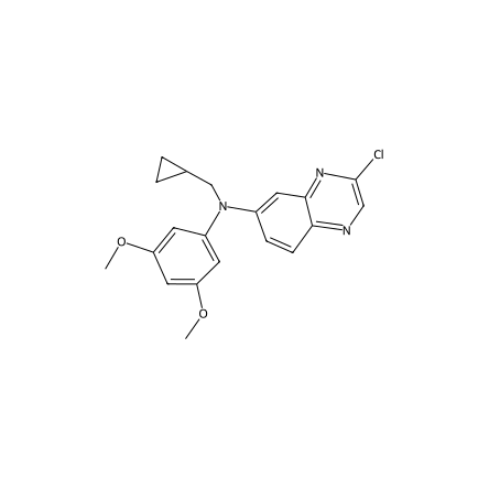 COc1cc(OC)cc(N(CC2CC2)c2ccc3ncc(Cl)nc3c2)c1